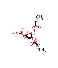 COCC(=O)OC[C@H]1O[C@H](OC(C)=O)C[C@@H]1OC(=O)COC